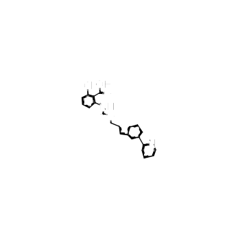 O=C(Nc1cccc(Cl)c1C(=O)O)OCc1cc2cc(-c3ccccn3)ccc2o1